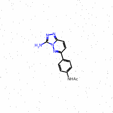 CC(=O)Nc1ccc(-c2ccc3nnc(N)n3n2)cc1